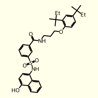 CCC(C)(C)c1ccc(OCCCNC(=O)c2cccc(S(=O)(=O)Nc3ccc(O)c4ccccc34)c2)c(C(C)(C)CC)c1